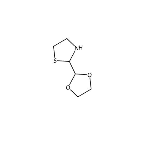 C1CSC(C2OCCO2)N1